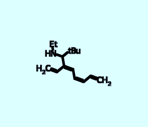 C=C/C=C\C=C(/C=C)C(NCC)C(C)(C)C